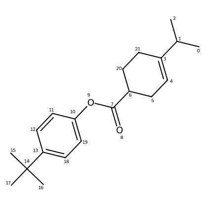 CC(C)C1=CCC(C(=O)Oc2ccc(C(C)(C)C)cc2)CC1